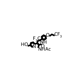 CC(=O)NCC1=C(c2ccc(CO)cn2)C[C@](c2ccc(OCCCC(F)(F)F)cc2)(C(F)(F)F)NC1=O